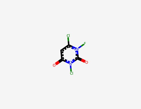 O=c1cc(Cl)n(F)c(=O)n1Cl